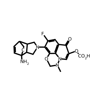 CN1COc2c(N3CC4C5C=CC(N)(CC5)C4C3)c(F)cc3c(=O)c(OC(=O)O)cn1c23